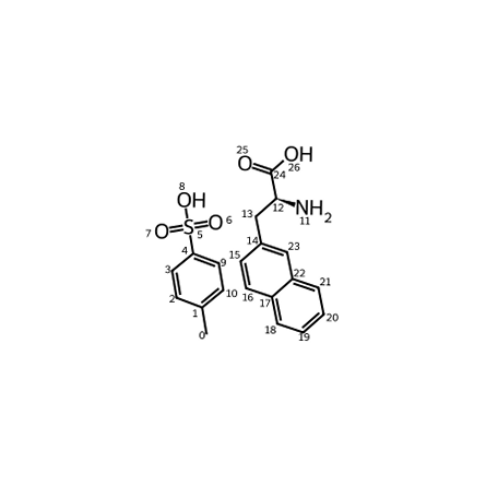 Cc1ccc(S(=O)(=O)O)cc1.N[C@@H](Cc1ccc2ccccc2c1)C(=O)O